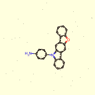 Nc1ccc(-n2c3ccccc3c3cc4oc5ccccc5c4cc32)cc1